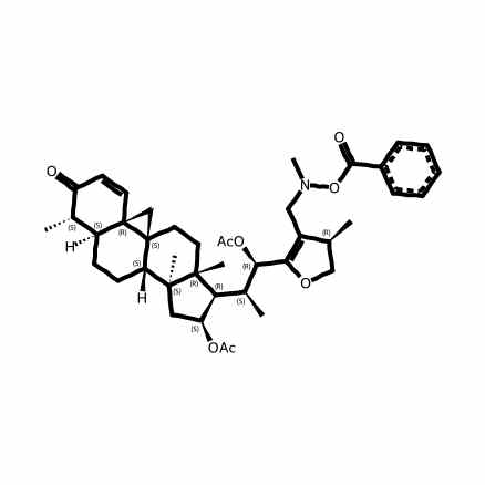 CC(=O)O[C@H]1C[C@@]2(C)[C@@H]3CC[C@H]4[C@H](C)C(=O)C=C[C@@]45C[C@@]35CC[C@]2(C)[C@H]1[C@H](C)[C@@H](OC(C)=O)C1=C(CN(C)OC(=O)c2ccccc2)[C@@H](C)CO1